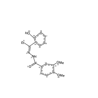 CCC(=NNC(=O)c1ccc(OC)c(OC)c1)c1ccccc1O